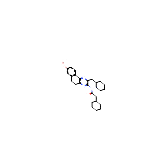 COc1ccc2c(c1)CCc1nc(NC(=O)CC3CCCCC3)c(CC3CCCCC3)nc1-2